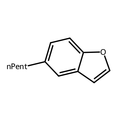 CCCCCc1ccc2occc2c1